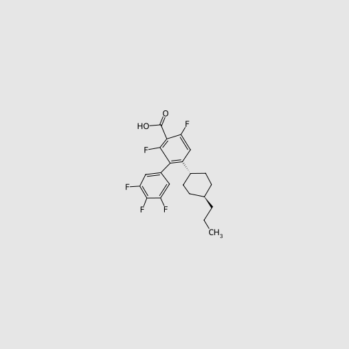 CCC[C@H]1CC[C@H](c2cc(F)c(C(=O)O)c(F)c2-c2cc(F)c(F)c(F)c2)CC1